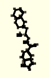 O=C(NC[C@H](O)CN1CCC2=C(C=CCC2)C1)c1ccc2[nH]nnc2c1